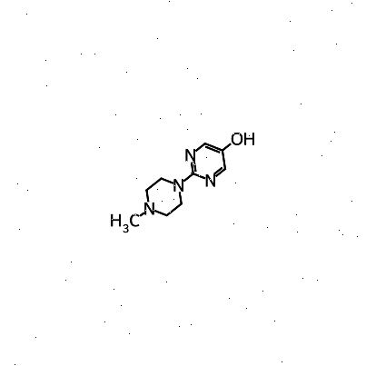 CN1CCN(c2ncc(O)cn2)CC1